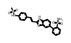 CS(=O)(=O)Nc1ccc(C=Cc2nc3cc(-c4ccccc4S(N)(=O)=O)ccc3[nH]2)cc1